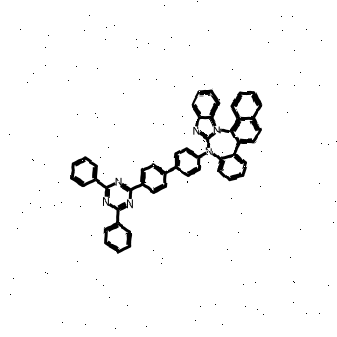 c1ccc(-c2nc(-c3ccccc3)nc(-c3ccc(-c4ccc(N5c6ccccc6-c6ccc7ccccc7c6-n6c5nc5ccccc56)cc4)cc3)n2)cc1